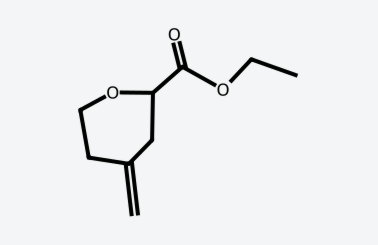 C=C1CCOC(C(=O)OCC)C1